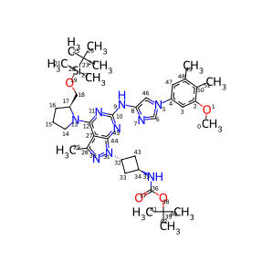 COc1cc(-n2cnc(Nc3nc(N4CCC[C@H]4CO[Si](C)(C)C(C)(C)C)c4c(C)nn([C@H]5C[C@H](NC(=O)OC(C)(C)C)C5)c4n3)c2)cc(C)c1C